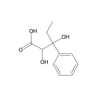 CCC(O)(c1ccccc1)C(O)C(=O)O